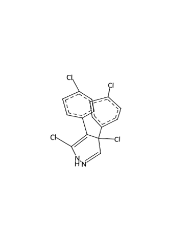 ClC1=C(c2ccc(Cl)cc2)C(Cl)(c2ccc(Cl)cc2)C=NN1